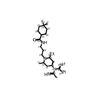 CCC1CC(N(C(C)=N)C(=N)C(C)C)CC(C)N1CCCNC(=O)C1CCC(F)(F)CC1